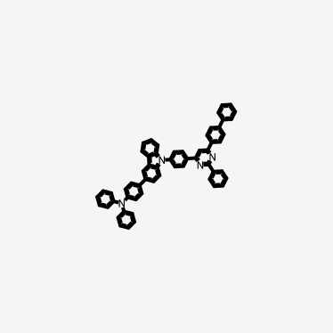 c1ccc(-c2ccc(-c3cc(-c4ccc(-n5c6ccccc6c6cc(-c7ccc(N(c8ccccc8)c8ccccc8)cc7)ccc65)cc4)nc(-c4ccccc4)n3)cc2)cc1